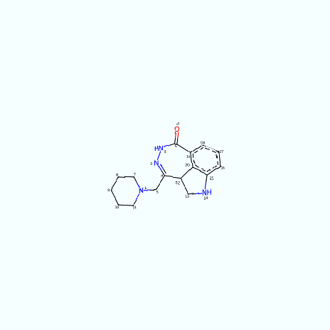 O=C1NN=C(CN2CCCCC2)C2CNc3cccc1c32